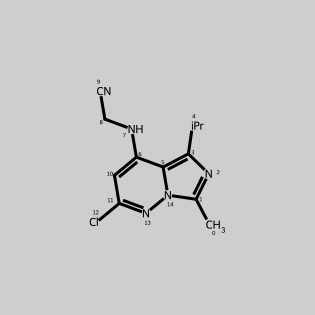 Cc1nc(C(C)C)c2c(NCC#N)cc(Cl)nn12